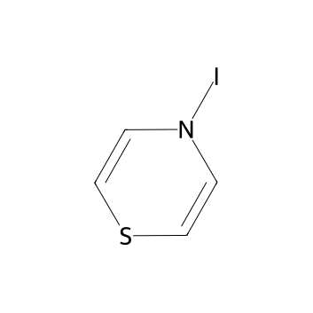 IN1C=CSC=C1